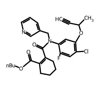 C#CC(C)Oc1cc(N(Cc2cccnc2)C(=O)C2=C(C(=O)OCCCC)CCCC2)c(F)cc1Cl